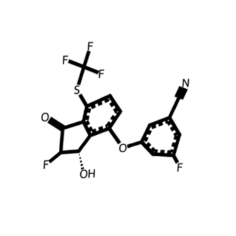 N#Cc1cc(F)cc(Oc2ccc(SC(F)(F)F)c3c2[C@H](O)C(F)C3=O)c1